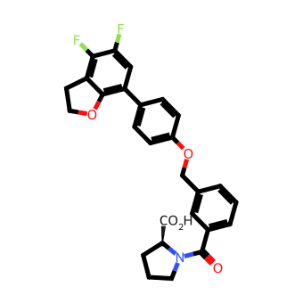 O=C(O)[C@@H]1CCCN1C(=O)c1cccc(COc2ccc(-c3cc(F)c(F)c4c3OCC4)cc2)c1